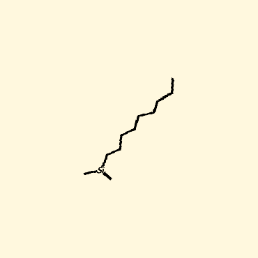 CCCCCCCCC[Si](C)C